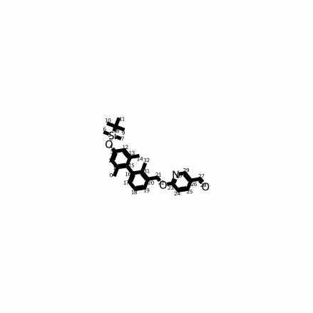 Cc1cc(O[Si](C)(C)C(C)(C)C)cc(C)c1-c1cccc(COc2ccc(C=O)cn2)c1C